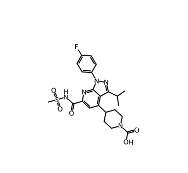 CC(C)c1nn(-c2ccc(F)cc2)c2nc(C(=O)NS(C)(=O)=O)cc(C3CCN(C(=O)O)CC3)c12